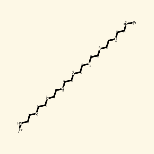 CC(C)NCCOCCOCCOCCOCCOCCOCCOCCNC(C)C